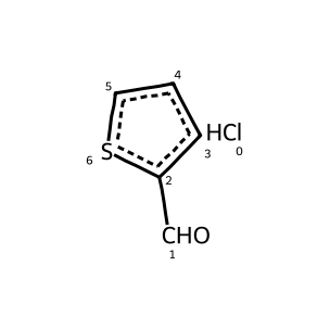 Cl.O=Cc1cccs1